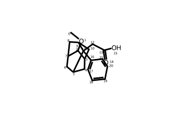 COC1C2CC3CC1CC(C2)C3(CC(=O)O)c1ccccc1